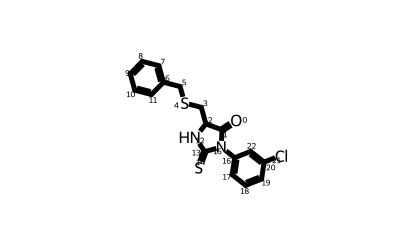 O=C1C(CSCc2ccccc2)NC(=S)N1c1cccc(Cl)c1